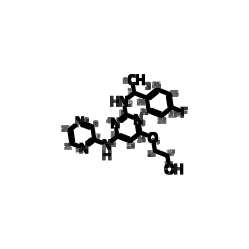 CC(Nc1nc(Nc2cnccn2)cc(OCCO)n1)c1ccc(F)cc1